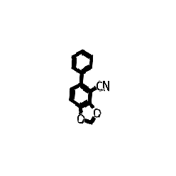 N#Cc1c(-c2ccccc2)ccc2c1OCO2